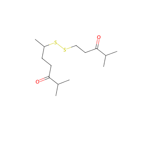 CC(CCC(=O)C(C)C)SSCCC(=O)C(C)C